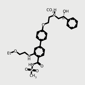 CCOCCNc1cc(-c2ccc(OCCN(C[C@H](O)c3ccccc3)C(=O)O)cc2)ccc1C(=O)NS(C)(=O)=O